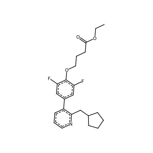 CCOC(=O)CCCOc1c(F)cc(-c2cccnc2CC2CCCC2)cc1F